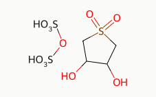 O=S(=O)(O)OS(=O)(=O)O.O=S1(=O)CC(O)C(O)C1